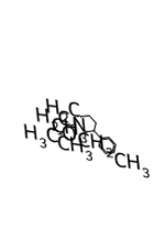 C=C1CCC(c2ccc(C)cc2)C(=C)N1C(=C)OC(C)(C)C